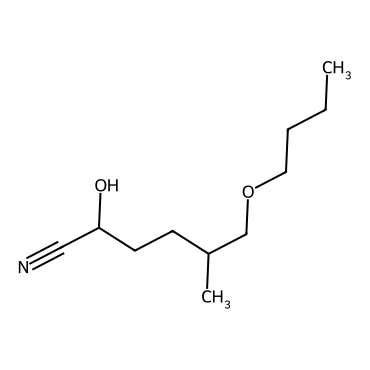 CCCCOCC(C)CCC(O)C#N